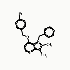 Cc1c(C)n(Cc2ccccc2)c2c(OCc3ccc(C(C)C)cc3)ccnc12